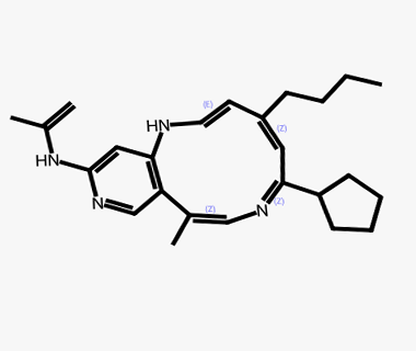 C=C(C)Nc1cc2c(cn1)\C(C)=C/N=C(C1CCCC1)\C=C(CCCC)/C=C/N2